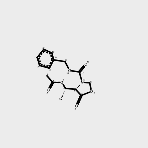 CC(=O)O[C@@H](C)[C@H]1C(=O)OCN1C(=O)OCc1ccccc1